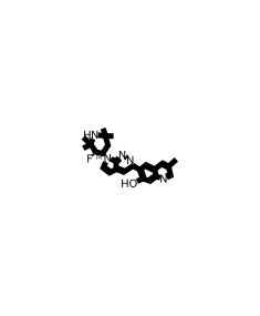 Cc1cnc2cc(O)c(-c3cc4ccn([C@H]5CC(C)(C)NC(C)(C)[C@H]5F)c4nn3)cc2c1